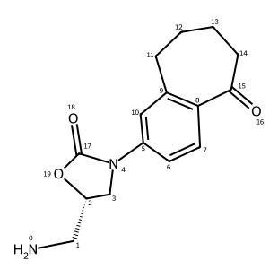 NC[C@H]1CN(c2ccc3c(c2)CCCCC3=O)C(=O)O1